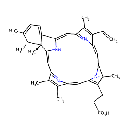 C=CC1=C(C)C2=NC/1=C\C1NC(=C(CCC(=O)O)C1C)/C=C1N=C(/C=C3\N/C(=C\2)C2=CC=C(C)[C@@H](C)[C@]23C)C(C)=C\1C